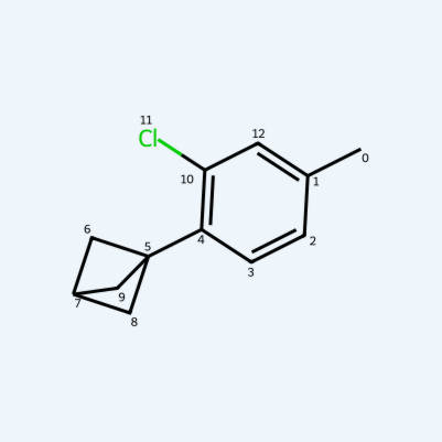 Cc1ccc(C23CC(C2)C3)c(Cl)c1